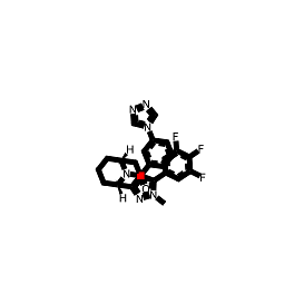 Cn1nc2c(c1-c1cc(F)c(F)c(F)c1)C[C@H]1CCC[C@@H]2N1C(=O)c1cccc(-n2cnnc2)c1